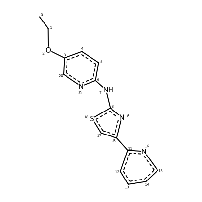 CCOc1ccc(Nc2nc(-c3ccccn3)cs2)nc1